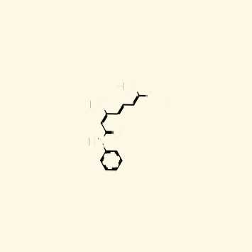 CC(C)=C/C=C/C(C)=C\C(=O)Nc1ccccc1